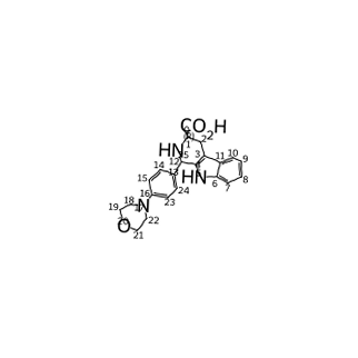 O=C(O)[C@H]1Cc2c([nH]c3ccccc23)C(c2ccc(N3CCOCC3)cc2)N1